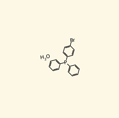 Brc1ccc(P(c2ccccc2)c2ccccc2)cc1.O